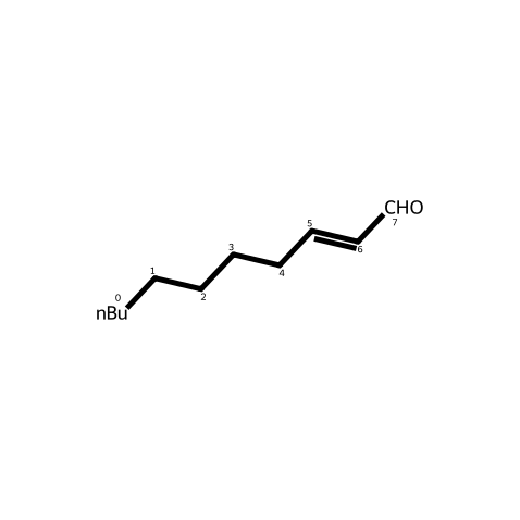 CCCCCCCCC=CC=O